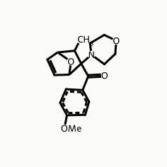 COc1ccc(C(=O)C2(N3CCOCC3)C3C=CC(O3)C2C)cc1